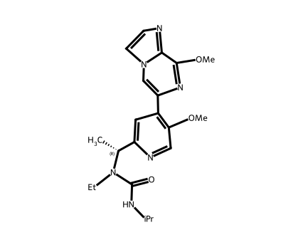 CCN(C(=O)NC(C)C)[C@H](C)c1cc(-c2cn3ccnc3c(OC)n2)c(OC)cn1